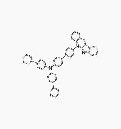 c1ccc(-c2ccc(N(c3ccc(-c4ccccc4)cc3)c3ccc(-c4ccc(-n5c6nc7ccccc7c-6cc6ccccc65)cc4)cc3)cc2)cc1